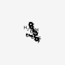 COCCCOC(c1ccc(F)c(F)c1)C1CCCN(C(=O)N[C@H](CN)CC2CCCCC2)C1